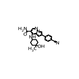 CC1(O)CCC(Nc2c(C(N)=O)cnn3cc(-c4ccc(C#N)cc4)cc23)CC1